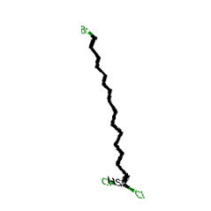 Cl[SiH](Cl)CCCCCCCCCCCCCCCBr